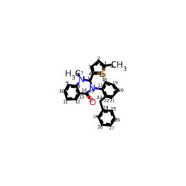 Cc1ccc(C2N(C)c3ccccc3C(=O)N2c2ccccc2Cc2ccccc2)s1